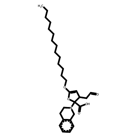 CCCCCCCCCCCCCCOC1=CC(CC=O)C(C(=O)O)(N2CCc3ccccc3C2)O1